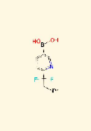 CC(C)CC(F)(F)c1ccc(B(O)O)cn1